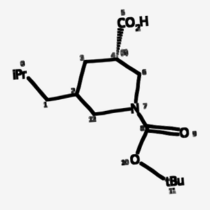 CC(C)CC1C[C@H](C(=O)O)CN(C(=O)OC(C)(C)C)C1